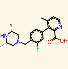 Cc1ccnc(C(=O)O)c1-c1ccc(CN2C[C@@H](C)N[C@@H](C)C2)c(F)c1